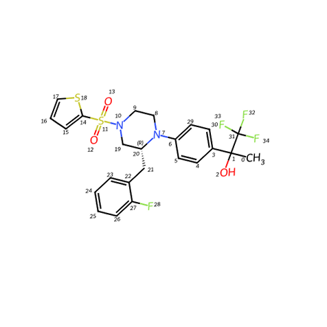 CC(O)(c1ccc(N2CCN(S(=O)(=O)c3cccs3)C[C@H]2Cc2ccccc2F)cc1)C(F)(F)F